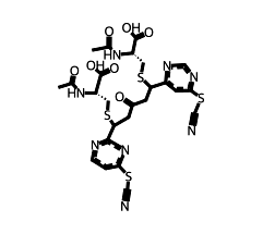 CC(=O)N[C@@H](CSC(CC(=O)CC(SC[C@H](NC(C)=O)C(=O)O)c1nccc(SC#N)n1)c1cc(SC#N)ncn1)C(=O)O